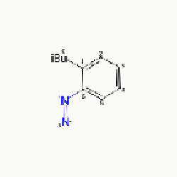 CCC(C)c1ccccc1N=[N]